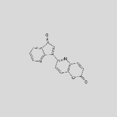 O=C1C=C(c2ccc3oc(=O)ccc3n2)c2ncccc21